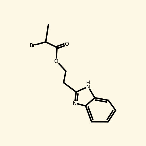 CC(Br)C(=O)OCCc1nc2ccccc2[nH]1